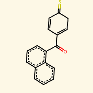 O=C(C1=CCC(=S)C=C1)c1cccc2ccccc12